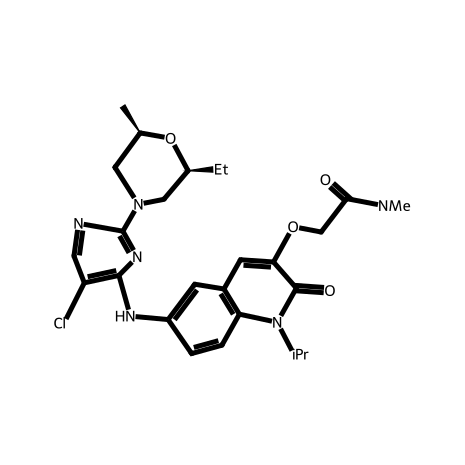 CC[C@H]1CN(c2ncc(Cl)c(Nc3ccc4c(c3)cc(OCC(=O)NC)c(=O)n4C(C)C)n2)C[C@@H](C)O1